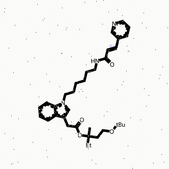 CCC(C)(CCOC(C)(C)C)OC(=O)Cc1cn(CCCCCCNC(=O)/C=C/c2cccnc2)c2ccccc12